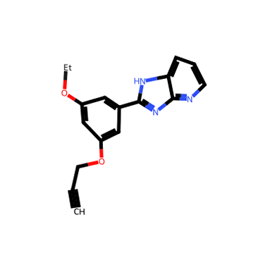 C#CCOc1cc(OCC)cc(-c2nc3ncccc3[nH]2)c1